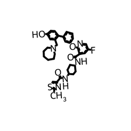 Cc1nc(C(=O)NC2CCC(NC(=O)c3cc(F)cnc3Oc3cccc(-c4ccc(O)cc4CN4CCCCCC4)c3)CC2)cs1